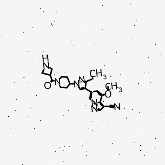 CCc1nn(C2CCN(C(=O)C3CNC3)CC2)cc1-c1cc(OC)c2c(C#N)cnn2c1